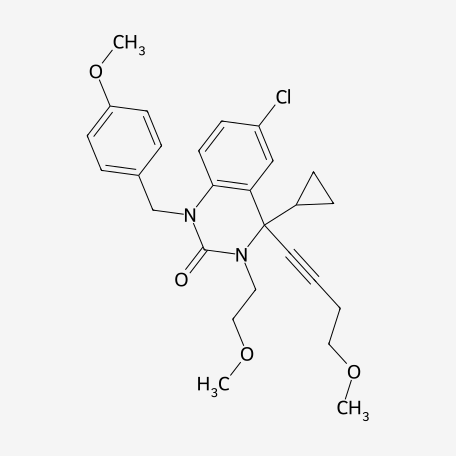 COCCC#CC1(C2CC2)c2cc(Cl)ccc2N(Cc2ccc(OC)cc2)C(=O)N1CCOC